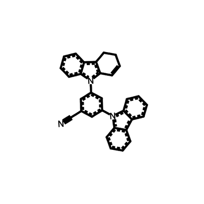 N#Cc1cc(-n2c3c(c4ccccc42)CCC=C3)cc(-n2c3ccccc3c3ccccc32)c1